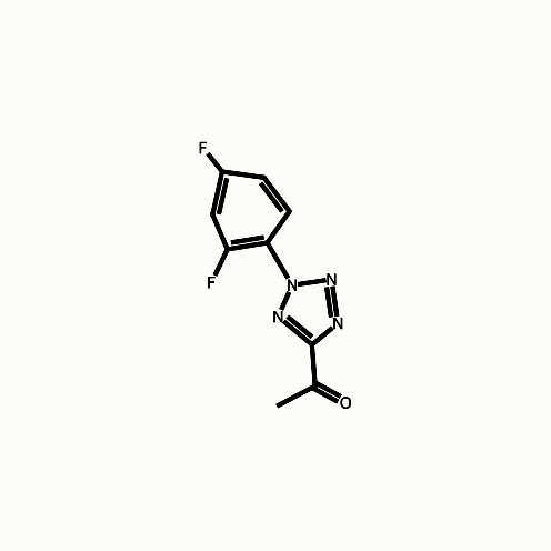 CC(=O)c1nnn(-c2ccc(F)cc2F)n1